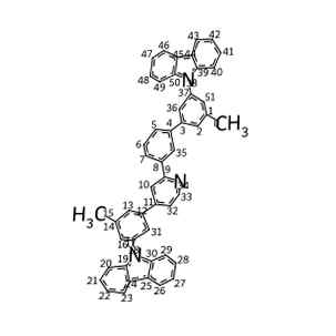 Cc1cc(-c2cccc(-c3cc(-c4cc(C)cc(-n5c6ccccc6c6ccccc65)c4)ccn3)c2)cc(-n2c3ccccc3c3ccccc32)c1